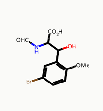 COc1ccc(Br)cc1C(O)C(NC=O)C(=O)O